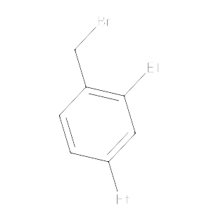 CCc1ccc(CBr)c(CC)c1